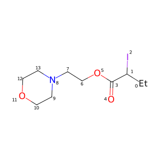 CCC(I)C(=O)OCCN1CCOCC1